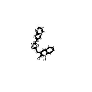 O=c1[nH]c2ccccc2cc1Cc1nnc(-c2cn3cccnc3n2)o1